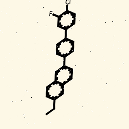 CCc1ccc2cc(-c3ccc(-c4ccc(Cl)c(F)c4)cc3)ccc2c1